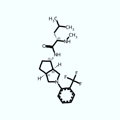 CN[C@@H](CC(C)C)C(=O)N[C@H]1CC[C@@H]2CN(c3ccccc3C(F)(F)F)C[C@@H]21